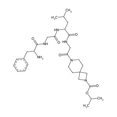 CC(C)CC(NC(=O)CNC(=O)C(N)Cc1ccccc1)C(=O)NCC(=O)N1CCC2(CC1)CN(C(=O)OC(C)C)C2